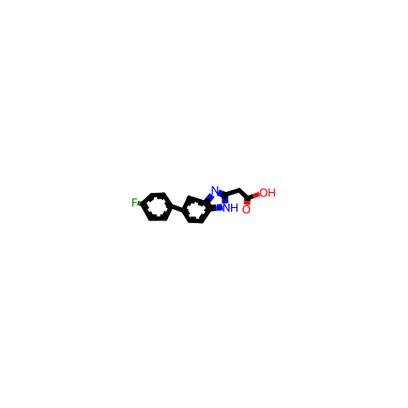 O=C(O)Cc1nc2cc(-c3ccc(F)cc3)ccc2[nH]1